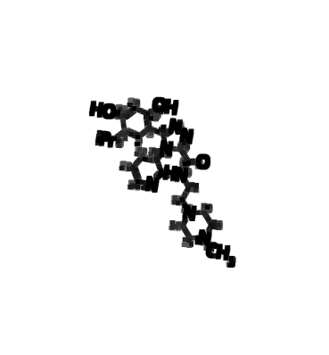 CC(C)c1cc(-c2nnc(C(=O)NCCN3CCN(C)CC3)n2-c2cccnc2)c(O)cc1O